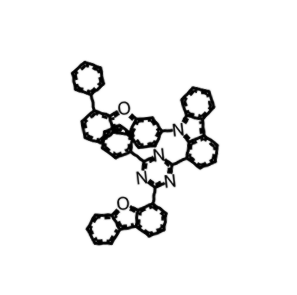 c1ccc(-c2nc(-c3cccc4c3oc3ccccc34)nc(-c3cccc4c5ccccc5n(-c5ccc6c(c5)oc5c(-c7ccccc7)cccc56)c34)n2)cc1